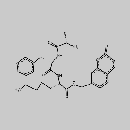 C[C@H](N)C(=O)N[C@@H](Cc1ccccc1)C(=O)N[C@@H](CCCCN)C(=O)NCc1ccc2ccc(=O)oc2c1